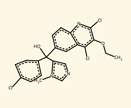 CCOc1c(Cl)nc2ccc(C(O)(c3ccc(Cl)cc3)c3cncn3C)cc2c1Cl